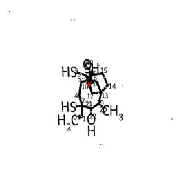 C=C[C@]1(S)CC[C@]2(S)C(S)CC34CC(CCC3=O)(C42)[C@@H](C)C1O